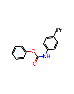 CC(C)c1ccc(NC(=O)Oc2ccccc2)cc1